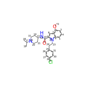 COc1cccc2c1cc(C(=O)NC1CCN(C(C)C)CC1)n2CCc1ccc(Cl)cc1